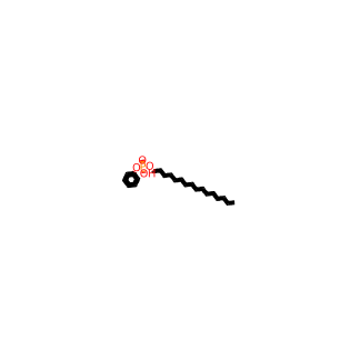 CCCCCCCCCCCCCCCCOP(=O)(O)Oc1ccccc1